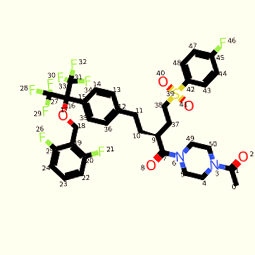 CC(=O)N1CCN(C(=O)[C@@H](CCc2ccc(C(OCc3c(F)cccc3F)(C(F)(F)F)C(F)(F)F)cc2)CCS(=O)(=O)c2ccc(F)cc2)CC1